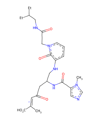 CCC(CC)CNC(=O)Cn1cccc(NCC(CC(=O)/C=C(\C)C(=O)O)NC(=O)c2cncn2C)c1=O